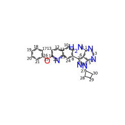 Nc1ncnc2c1c(-c1ccc3ccc(Oc4ccccc4)nc3c1)nn2C1CCC1